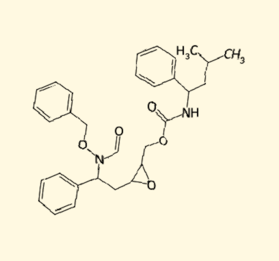 CC(C)CC(NC(=O)OCC1OC1CC(c1ccccc1)N(C=O)OCc1ccccc1)c1ccccc1